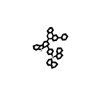 c1ccc(-c2ccc3c(c2)-c2ccccc2CC3c2cc(-c3ccc(N(c4cccc5ccccc45)c4cccc5ccccc45)cc3)c3sc4ccccc4c3c2)cc1